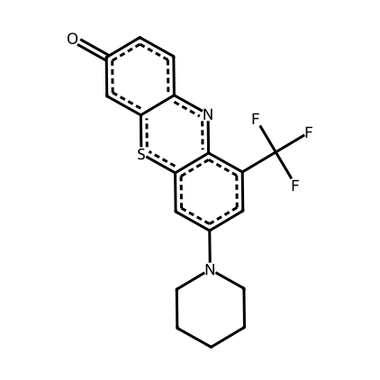 O=c1ccc2nc3c(C(F)(F)F)cc(N4CCCCC4)cc3sc-2c1